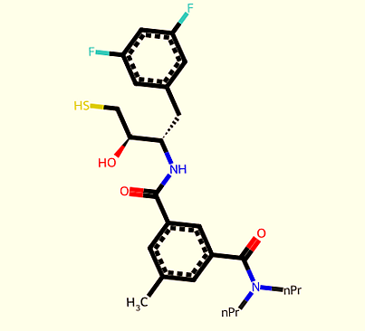 CCCN(CCC)C(=O)c1cc(C)cc(C(=O)N[C@@H](Cc2cc(F)cc(F)c2)[C@@H](O)CS)c1